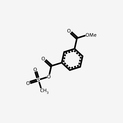 COC(=O)c1cccc(C(=O)OS(C)(=O)=O)c1